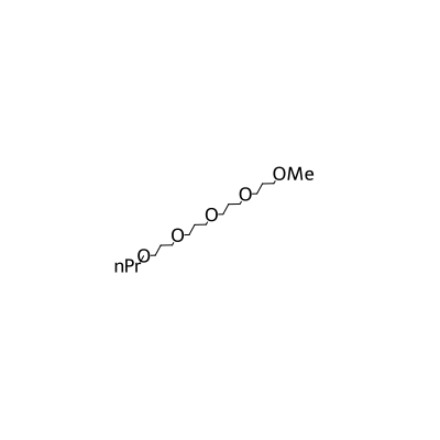 [CH2]CCOCCCOCCCOCCCOCCCOC